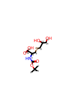 CC(C)(C)OC(=O)NC(CSCC(O)CO)C(=O)O